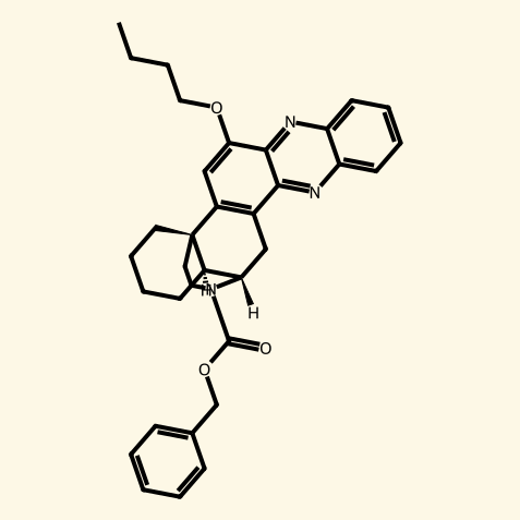 CCCCOc1cc2c(c3nc4ccccc4nc13)C[C@H]1[C@H]3CCCC[C@@]23CCN1C(=O)OCc1ccccc1